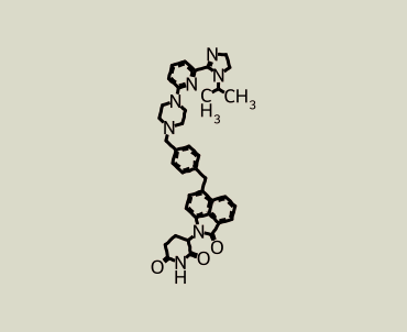 CC(C)N1CCN=C1c1cccc(N2CCN(Cc3ccc(Cc4ccc5c6c(cccc46)C(=O)N5C4CCC(=O)NC4=O)cc3)CC2)n1